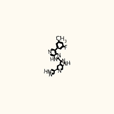 Cc1cc(F)cc(-c2cncc3[nH]c(-c4n[nH]c5cnc(-c6cn[nH]c6)cc45)nc23)c1